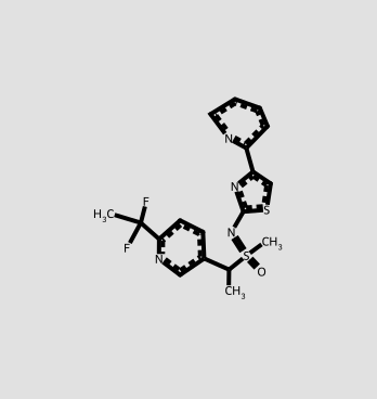 CC(c1ccc(C(C)(F)F)nc1)S(C)(=O)=Nc1nc(-c2ccccn2)cs1